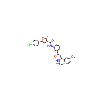 COc1ccc2c(c1)C(=CC(=O)c1cccc(NC(=O)c3cc(-c4ccc(Cl)cc4)oc3C)c1)NC(C)(C)C2